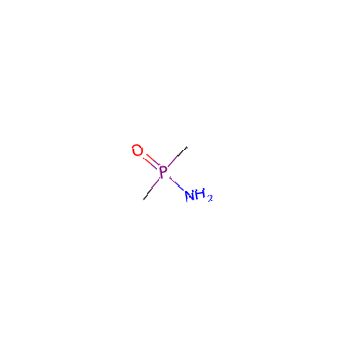 CP(C)(N)=O